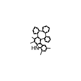 Cc1cc(C)c2[nH]c3c(C)c(C)c4c(c3c2c1)-c1ccccc1-c1ccccc1-c1ccccc1-4